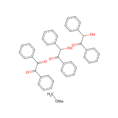 COC.O=C(C(=O)c1ccccc1)c1ccccc1.O=C(c1ccccc1)C(O)c1ccccc1.O=C(c1ccccc1)C(O)c1ccccc1